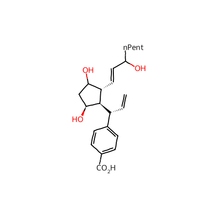 C=C[C@H](c1ccc(C(=O)O)cc1)[C@H]1[C@@H](O)CC(O)[C@@H]1/C=C/C(O)CCCCC